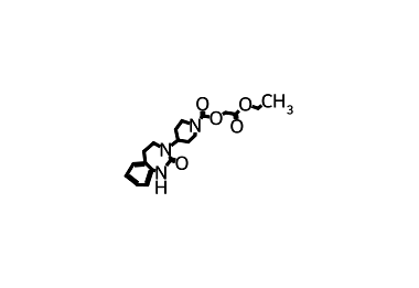 CCOC(=O)COC(=O)N1CCC(N2CCc3ccccc3NC2=O)CC1